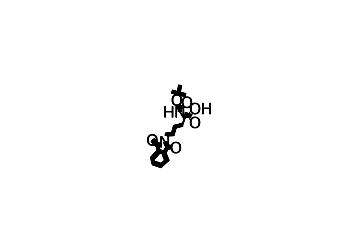 CC(C)(C)OC(=O)N[C@H](CCCCN1C(=O)c2ccccc2C1=O)C(=O)O